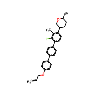 C=CCOc1ccc(-c2ccc(-c3ccc(C4CCC(CCC)OC4)c(C(F)(F)F)c3F)cc2)cc1